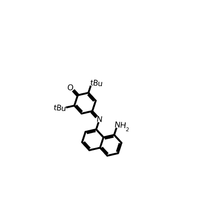 CC(C)(C)C1=CC(=Nc2cccc3cccc(N)c23)C=C(C(C)(C)C)C1=O